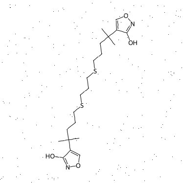 CC(C)(CCCSCCCSCCCC(C)(C)c1conc1O)c1conc1O